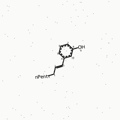 CCCCCCC=Cc1[c]ccc(O)c1